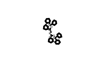 O=C(/N=N/C(=O)O[Si](c1ccccc1)(c1ccccc1)c1ccccc1)O[Si](c1ccccc1)(c1ccccc1)c1ccccc1